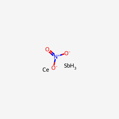 O=[N+]([O-])[O-].[Ce].[SbH3]